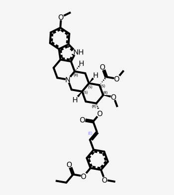 CCC(=O)Oc1cc(/C=C/C(=O)O[C@@H]2C[C@@H]3CN4CCc5c([nH]c6cc(OC)ccc56)[C@H]4C[C@@H]3[C@H](C(=O)OC)[C@H]2OC)ccc1OC